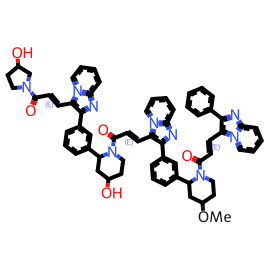 COC1CCN(C(=O)/C=C/c2c(-c3ccccc3)nc3ccccn23)C(c2cccc(-c3nc4ccccn4c3/C=C/C(=O)N3CCC(O)CC3c3cccc(-c4nc5ccccn5c4/C=C/C(=O)N4CCC(O)C4)c3)c2)C1